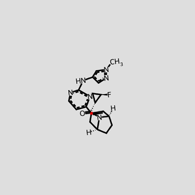 Cn1cc(Nc2nccc(C3=C[C@H]4CC[C@@H](C3)N4C(=O)[C@@H]3C[C@H]3F)n2)cn1